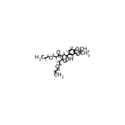 C=CCOCCC(=O)N(CC(O)c1ccc2c(c1)OC(C)(C)O2)C(=O)CCOCC=C